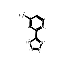 Nc1ccnc(-c2nnn[nH]2)c1